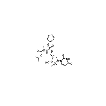 CC(C)OC(=O)[C@H](C)N[P@](=O)(OC[C@H]1C[C@@H](n2ccc(=O)[nH]c2=O)[C@](C)(F)[C@@H]1O)Oc1ccccc1